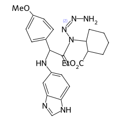 C=C(C(Nc1ccc2[nH]cnc2c1)c1ccc(OC)cc1)N(/N=N\N)C1CCCCC1C(=O)OCC